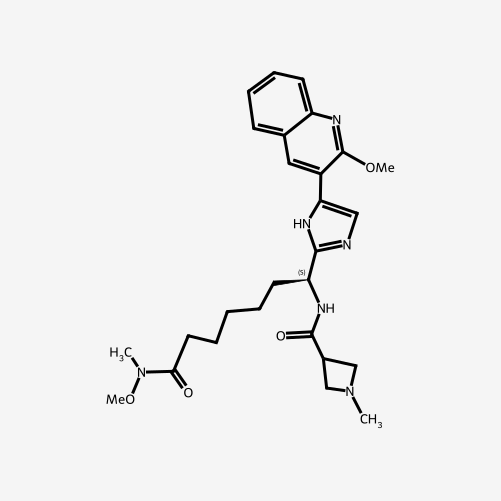 COc1nc2ccccc2cc1-c1cnc([C@H](CCCCCC(=O)N(C)OC)NC(=O)C2CN(C)C2)[nH]1